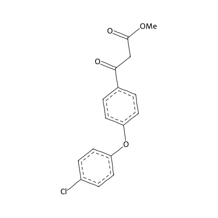 COC(=O)CC(=O)c1ccc(Oc2ccc(Cl)cc2)cc1